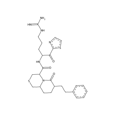 N=C(N)NCCCC(NC(=O)C1CSCC2CCC(CCc3ccccc3)C(=O)N21)C(=O)c1nccs1